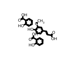 COc1cc(/C=C/C(=O)O)ccc1O.O=C(O)c1ccccc1O.O=C(O)c1ccccc1O